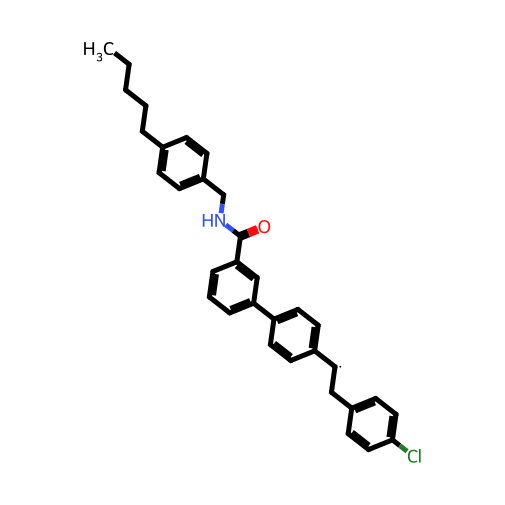 CCCCCc1ccc(CNC(=O)c2cccc(-c3ccc([CH]Cc4ccc(Cl)cc4)cc3)c2)cc1